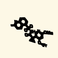 COc1cc(OC(C)C)c(C2(C(=O)NS(=O)(=O)c3cccc4nc(C)ccc34)CC2)cn1